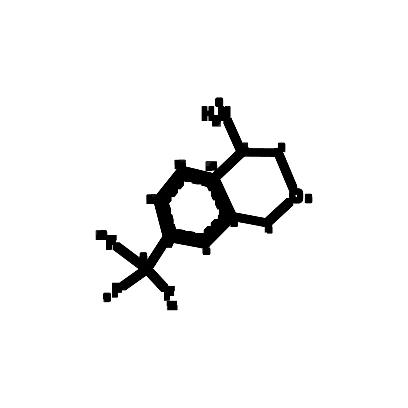 NC1COCc2cc(C(F)(F)F)ccc21